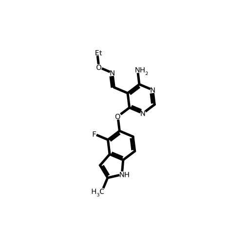 CCO/N=C/c1c(N)ncnc1Oc1ccc2[nH]c(C)cc2c1F